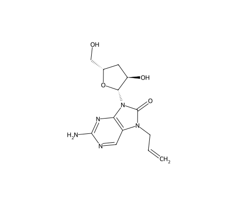 C=CCn1c(=O)n([C@@H]2O[C@H](CO)C[C@H]2O)c2nc(N)ncc21